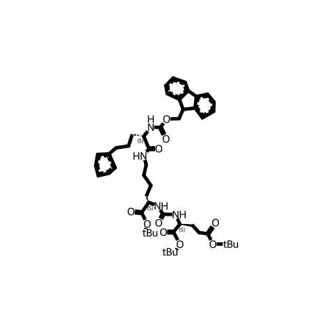 CC(C)(C)OC(=O)CC[C@H](NC(=O)N[C@@H](CCCCNC(=O)[C@H](CCCc1ccccc1)NC(=O)OCC1c2ccccc2-c2ccccc21)C(=O)OC(C)(C)C)C(=O)OC(C)(C)C